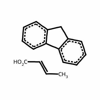 C/C=C/C(=O)O.c1ccc2c(c1)Cc1ccccc1-2